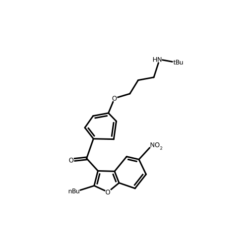 CCCCc1oc2ccc([N+](=O)[O-])cc2c1C(=O)c1ccc(OCCCNC(C)(C)C)cc1